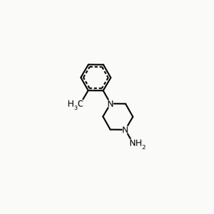 Cc1ccccc1N1CCN(N)CC1